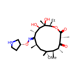 CC[C@H]1OC(=O)[C@H](C)C(=O)[C@H](C)[C@@H](C)[C@](C)(OC)C[C@@H](C)/C(=N\O[C@@H]2CCNC2)[C@H](C)[C@@H](O)[C@]1(C)O